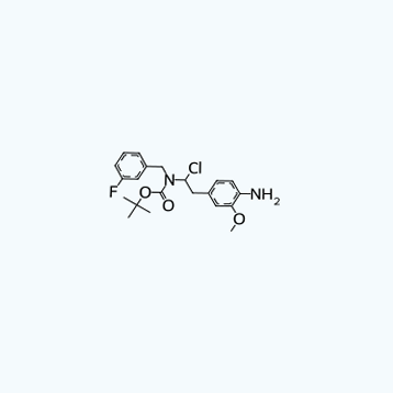 COc1cc(CC(Cl)N(Cc2cccc(F)c2)C(=O)OC(C)(C)C)ccc1N